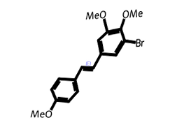 COc1ccc(/C=C/c2cc(Br)c(OC)c(OC)c2)cc1